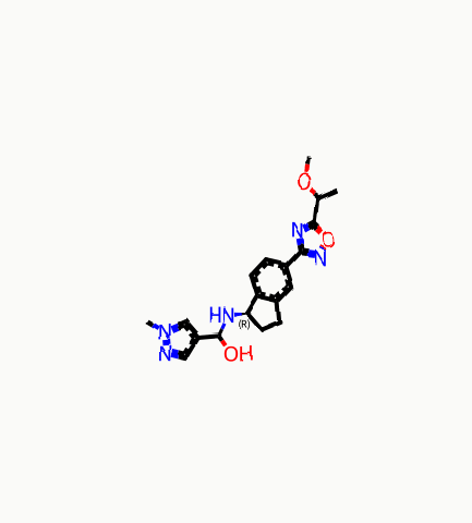 COC(C)c1nc(-c2ccc3c(c2)CC[C@H]3NC(O)c2cnn(C)c2)no1